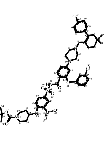 CC1(C)CCC(CN2CCN(c3ccc(C(=O)NS(=O)(=O)c4ccc(NC5CCN(C(=O)OC(C)(C)C)CC5)c([N+](=O)[O-])c4)c(Oc4cccc(Cl)c4)c3)CC2)=C(c2ccc(Cl)cc2)C1